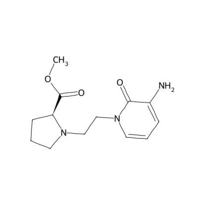 COC(=O)[C@@H]1CCCN1CCn1cccc(N)c1=O